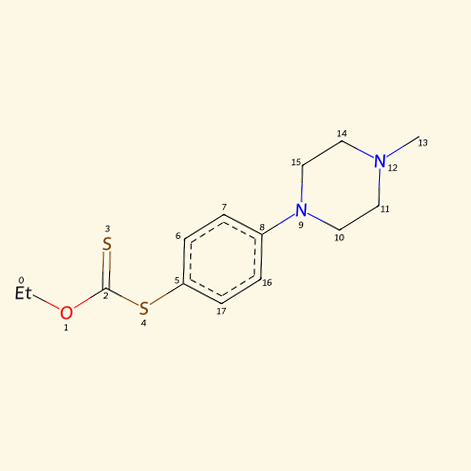 CCOC(=S)Sc1ccc(N2CCN(C)CC2)cc1